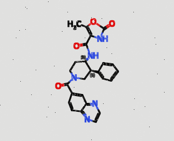 Cc1oc(=O)[nH]c1C(=O)N[C@@H]1CCN(C(=O)c2ccc3nccnc3c2)C[C@@H]1c1ccccc1